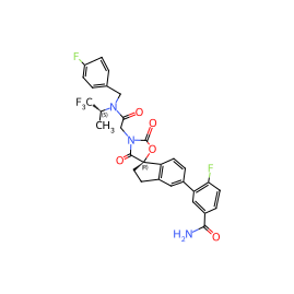 C[C@H](N(Cc1ccc(F)cc1)C(=O)CN1C(=O)O[C@@]2(CCc3cc(-c4cc(C(N)=O)ccc4F)ccc32)C1=O)C(F)(F)F